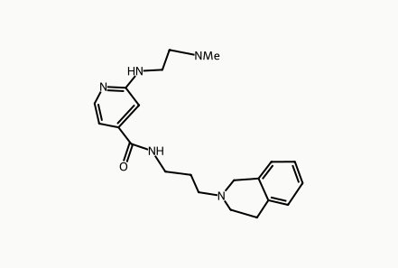 CNCCNc1cc(C(=O)NCCCN2CCc3ccccc3C2)ccn1